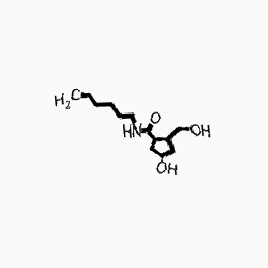 C=CCCCCNC(=O)C1C[C@@H](O)CC1CO